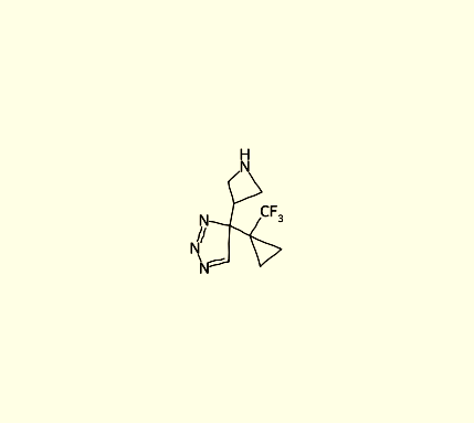 FC(F)(F)C1(C2(C3CNC3)C=NN=N2)CC1